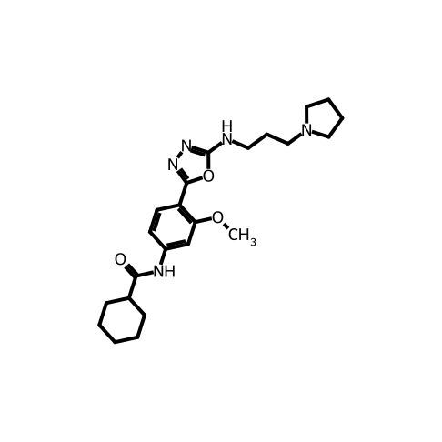 COc1cc(NC(=O)C2CCCCC2)ccc1-c1nnc(NCCCN2CCCC2)o1